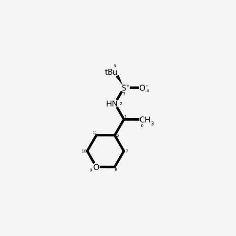 CC(N[S@+]([O-])C(C)(C)C)C1CCOCC1